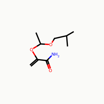 C=C(OC(C)OCC(C)C)C(N)=O